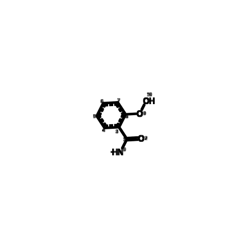 [NH]C(=O)c1ccccc1OO